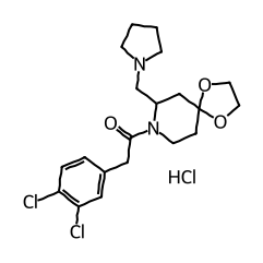 Cl.O=C(Cc1ccc(Cl)c(Cl)c1)N1CCC2(CC1CN1CCCC1)OCCO2